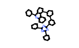 c1ccc(-c2nc(-c3ccccc3)nc(-c3cccc(-c4cccc(-c5cccc6c(-c7ccccc7)nc7ccccc7c56)c4)c3)n2)cc1